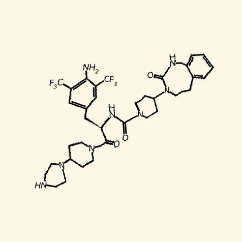 Nc1c(C(F)(F)F)cc(C[C@@H](NC(=O)N2CCC(N3CCc4ccccc4NC3=O)CC2)C(=O)N2CCC(N3CCNCC3)CC2)cc1C(F)(F)F